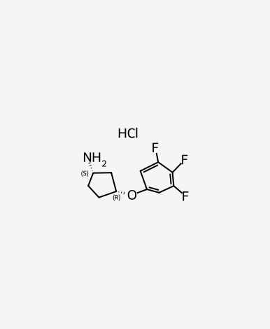 Cl.N[C@H]1CC[C@@H](Oc2cc(F)c(F)c(F)c2)C1